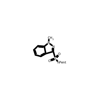 CCCCCS(=O)(=O)c1nn(C)c2ccccc12